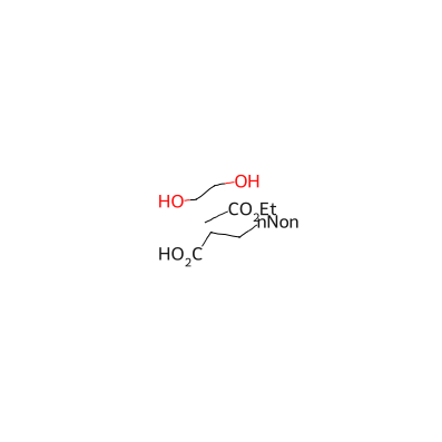 CCCCCCCCCCCC(=O)O.CCOC(C)=O.OCCO